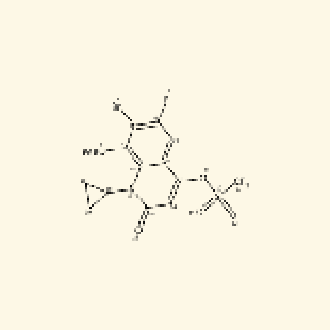 COc1c(Br)c(F)cc2c(OS(=O)(=O)C(F)(F)F)cc(=O)n(C3CC3)c12